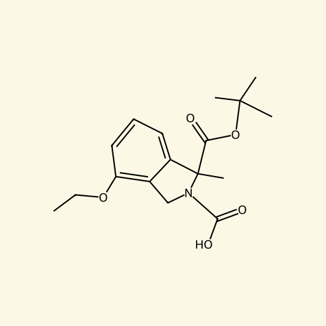 CCOc1cccc2c1CN(C(=O)O)C2(C)C(=O)OC(C)(C)C